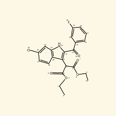 CCOC(=O)C(C(=O)OCC)c1c(C(=O)c2cccc(F)c2)[nH]c2cc(Cl)ccc12